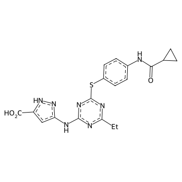 CCc1nc(Nc2cc(C(=O)O)[nH]n2)nc(Sc2ccc(NC(=O)C3CC3)cc2)n1